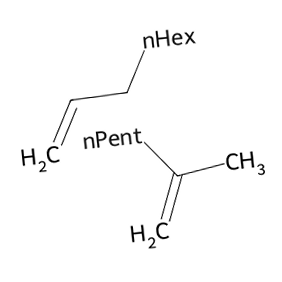 C=C(C)CCCCC.C=CCCCCCCC